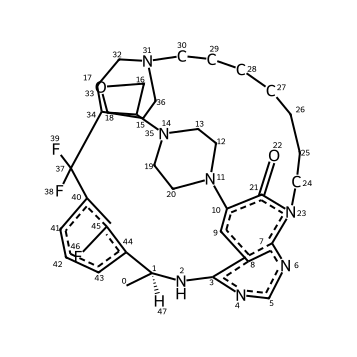 C[C@@H]1Nc2ncnc3c2cc(N2CCN(C4COC4)CC2)c(=O)n3CCCCCCCN2CCC(CC2)C(F)(F)c2cccc1c2F